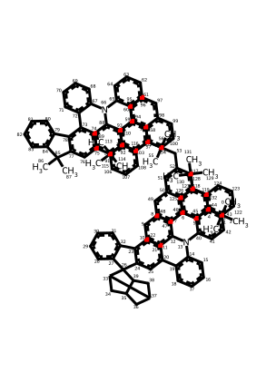 CC(C)(C)c1cc(-c2ccccc2N(c2ccccc2-c2ccc3c(c2)C2(c4ccccc4-3)C3CC4CC3CC42)c2ccccc2-c2cccc3cc(CC(C)(C)c4cc(-c5ccccc5N(c5ccccc5-c5cccc6c5-c5ccccc5C6(C)C)c5ccccc5-c5cccc6cccc(-c7ccccc7)c56)cc(C(C)(C)C)c4)cc(-c4ccccc4)c23)cc(C(C)(C)C)c1